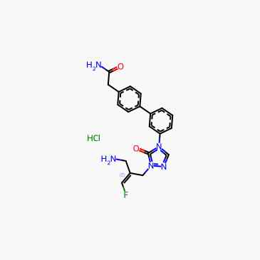 Cl.NC/C(=C/F)Cn1ncn(-c2cccc(-c3ccc(CC(N)=O)cc3)c2)c1=O